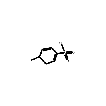 CC1C=CC(S(=O)(=O)Cl)=CC1